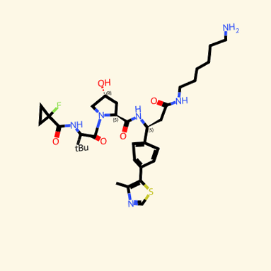 Cc1ncsc1-c1ccc([C@H](CC(=O)NCCCCCCN)NC(=O)[C@@H]2C[C@@H](O)CN2C(=O)C(NC(=O)C2(F)CC2)C(C)(C)C)cc1